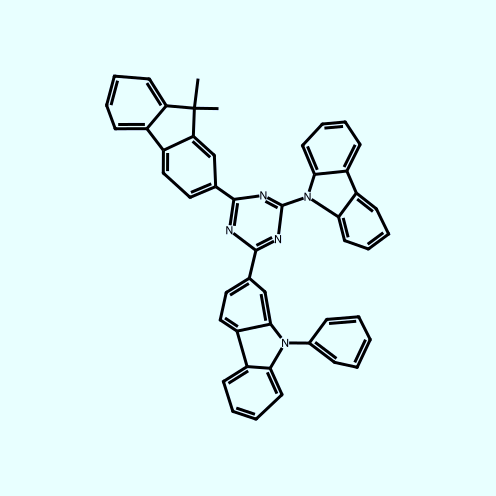 CC1(C)c2ccccc2-c2ccc(-c3nc(-c4ccc5c6ccccc6n(-c6ccccc6)c5c4)nc(-n4c5ccccc5c5ccccc54)n3)cc21